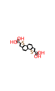 OB(O)c1cc2ccc3c(ccc4cc(B(O)O)sc43)c2s1